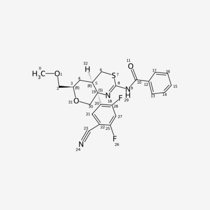 COC[C@H]1C[C@H]2CSC(NC(=O)c3ccccc3)=N[C@@]2(c2cc(C#N)c(F)cc2F)CO1